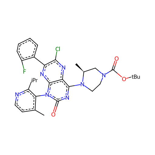 Cc1ccnc(C(C)C)c1-n1c(=O)nc(N2CCN(C(=O)OC(C)(C)C)C[C@@H]2C)c2nc(Cl)c(-c3ccccc3F)nc21